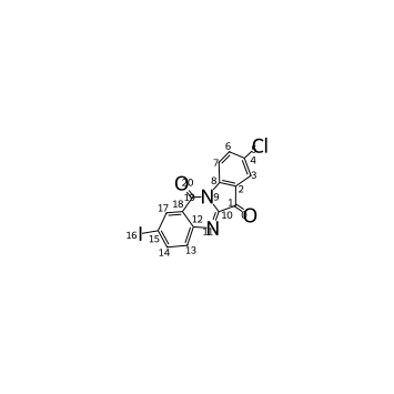 O=C1c2cc(Cl)ccc2-n2c1nc1ccc(I)cc1c2=O